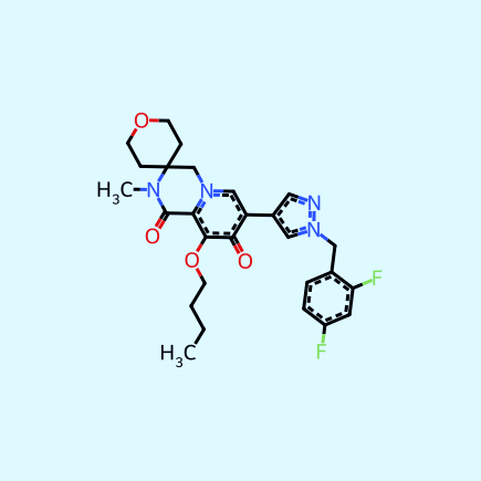 CCCCOc1c2n(cc(-c3cnn(Cc4ccc(F)cc4F)c3)c1=O)CC1(CCOCC1)N(C)C2=O